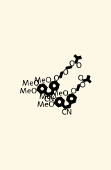 C=C(C)C(=O)OCCOCCOc1ccc(C=C(C#N)c2ccc(OC)c(OC)c2)cc1OC.C=C(C)C(=O)OCCOc1ccc(C=C(C#N)c2ccc(OC)c(OC)c2)cc1OC